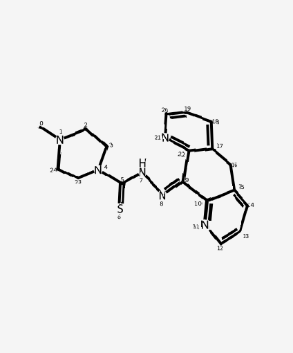 CN1CCN(C(=S)NN=C2c3ncccc3Cc3cccnc32)CC1